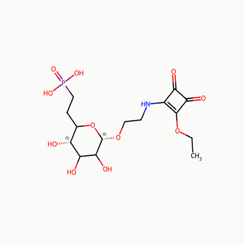 CCOc1c(NCCO[C@H]2OC(CCP(=O)(O)O)[C@@H](O)C(O)C2O)c(=O)c1=O